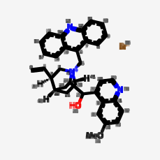 C=C[C@H]1C[N@+]2(Cc3c4ccccc4nc4ccccc34)CC[C@H]1C[C@H]2C(O)c1ccnc2ccc(OC)cc12.[Br-]